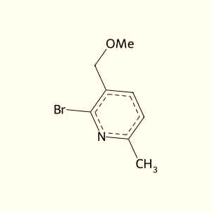 COCc1ccc(C)nc1Br